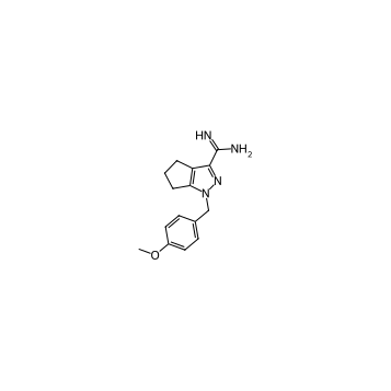 COc1ccc(Cn2nc(C(=N)N)c3c2CCC3)cc1